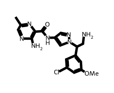 COc1cc(Cl)cc(C(CN)n2cc(NC(=O)c3nc(C)cnc3N)cn2)c1